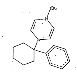 CC(C)(C)N1C=CN(C2(c3ccccc3)CCCCC2)C=C1